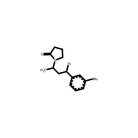 CCC(C)c1cccc(C(CC)CC(C)N2CCCC2=O)c1